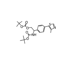 Cc1ncsc1-c1ccc(C(COC(=O)OC(C)(C)C)NC(=O)OC(C)(C)C)cc1